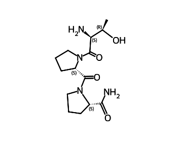 C[C@@H](O)[C@H](N)C(=O)N1CCC[C@H]1C(=O)N1CCC[C@H]1C(N)=O